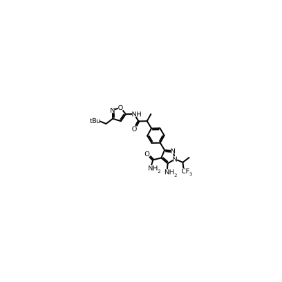 CC(C(=O)Nc1cc(CC(C)(C)C)no1)c1ccc(-c2nn(C(C)C(F)(F)F)c(N)c2C(N)=O)cc1